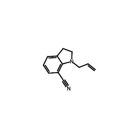 C=CCN1CCc2cccc(C#N)c21